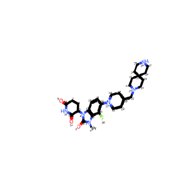 CC(C)n1c(=O)n(C2CCC(=O)NC2=O)c2ccc(N3CCC(CN4CCC5(CCNCC5)CC4)CC3)c(F)c21